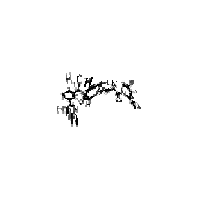 C[C@H](c1cccc(-c2nnn[nH]2)c1)N1C(=O)[C@@H]2C[C@H]1CN2C[C@H](N)C(=O)N1CCC[C@H]1C#N